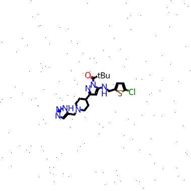 CC(C)(C)C(=O)n1nc(C2CCN(Cc3cnn[nH]3)CC2)cc1NCc1ccc(Cl)s1